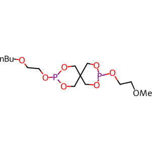 CCCCOCCOP1OCC2(COP(OCCOC)OC2)CO1